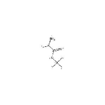 BC(C)C(=O)OC(C)(C)C